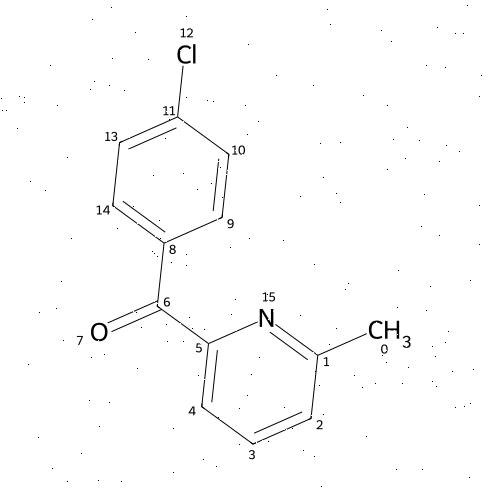 Cc1cccc(C(=O)c2ccc(Cl)cc2)n1